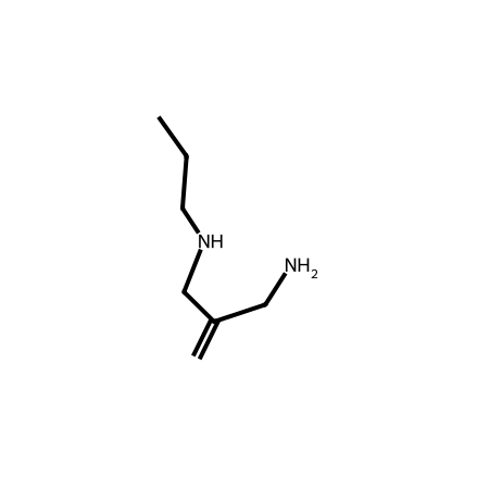 C=C(CN)CNCCC